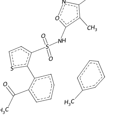 CC(=O)c1ccccc1-c1sccc1S(=O)(=O)Nc1onc(C)c1C.Cc1ccccc1